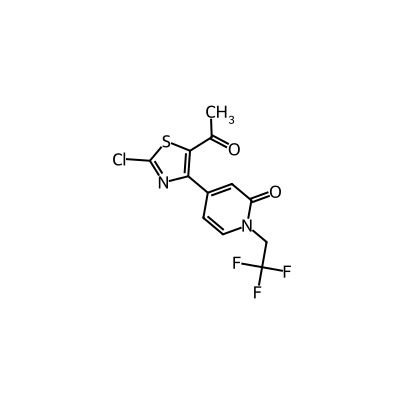 CC(=O)c1sc(Cl)nc1-c1ccn(CC(F)(F)F)c(=O)c1